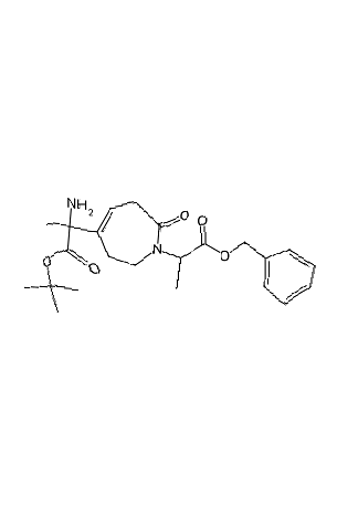 CC(C(=O)OCc1ccccc1)N1CCC(C(C)(N)C(=O)OC(C)(C)C)=CCC1=O